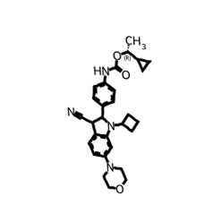 C[C@@H](OC(=O)Nc1ccc(C2C(C#N)c3ccc(N4CCOCC4)cc3N2C2CCC2)cc1)C1CC1